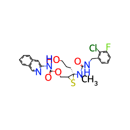 CN(C(=O)NCc1cccc(F)c1Cl)[C@@]1(CCCO)SC1COC(=O)Nc1cc2ccccc2cn1